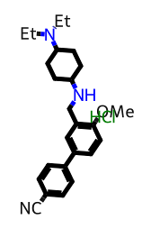 CCN(CC)C1CCC(NCc2cc(-c3ccc(C#N)cc3)ccc2OC)CC1.Cl